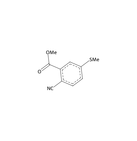 COC(=O)c1cc(SC)ccc1C#N